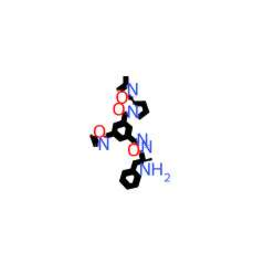 Cc1coc([C@H]2CCCN2C(=O)c2cc(-c3ncco3)cc(-c3nnc([C@](C)(N)Cc4ccccc4)o3)c2)n1